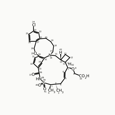 C[C@@H]1[C@@H](C)C/C=C/[C@H](OCC(=O)O)[C@@H]2CC[C@H]2CN2CCCCc3cc(Cl)ccc3COc3ccc(cc32)C(=O)NS1(=O)=O